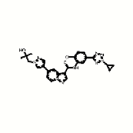 CC(C)(O)Cn1cc(-c2ccn3ncc(C(=O)Nc4cc(-c5nnn(C6CC6)n5)ccc4Cl)c3c2)cn1